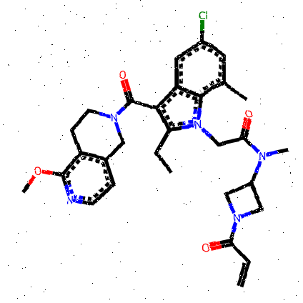 C=CC(=O)N1CC(N(C)C(=O)Cn2c(CC)c(C(=O)N3CCc4c(ccnc4OC)C3)c3cc(Cl)cc(C)c32)C1